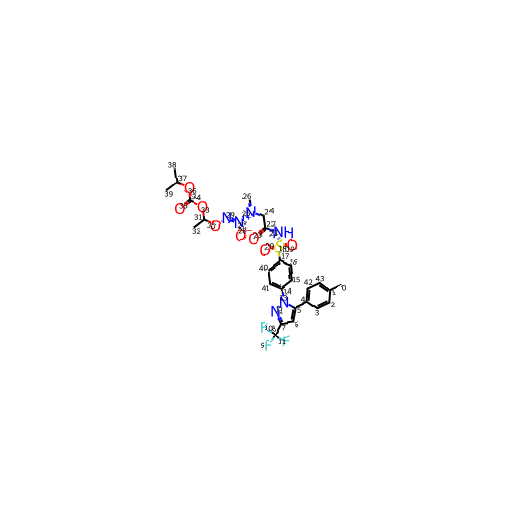 Cc1ccc(-c2cc(C(F)(F)F)nn2-c2ccc(S(=O)(=O)NC(=O)CN(C)/[N+]([O-])=N/OC(C)OC(=O)OC(C)C)cc2)cc1